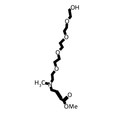 COC(=O)/C=C/CN(C)CCOCCOCCOCCOCCO